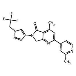 Cc1cc(-c2cc(C)c3c(n2)CN(c2cnn(CC(F)(F)F)c2)C3=O)ccn1